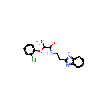 CC(Oc1ccccc1Cl)C(=O)NCCc1nc2ccccc2[nH]1